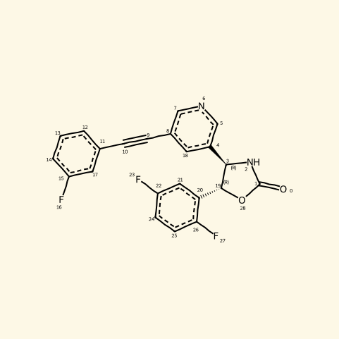 O=C1N[C@H](c2cncc(C#Cc3cccc(F)c3)c2)[C@@H](c2cc(F)ccc2F)O1